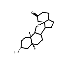 C[C@]12CC[C@@H](O)C[C@H]1CCC1C3CCC4CCC(=O)C[C@@]43CCC12